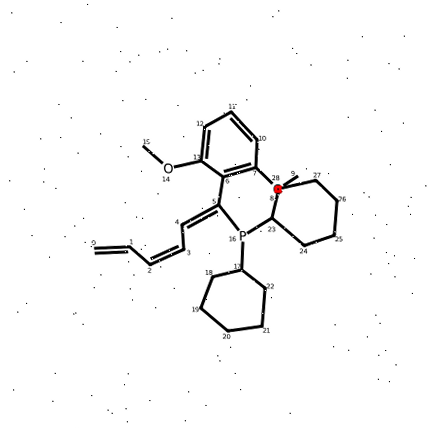 C=C/C=C\C=C(\c1c(OC)cccc1OC)P(C1CCCCC1)C1CCCCC1